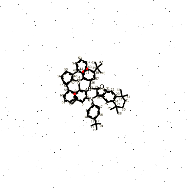 Cc1cc2c3c(c1)N(c1ccc(C(C)(C)C)cc1)c1c(oc4cc5c(cc14)C(C)(C)CCC5(C)C)B3c1cc(C(C)(C)C)ccc1N2c1c(-c2ccccc2)cccc1-c1ccccc1